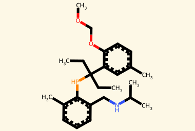 CCC(CC)(Pc1c(C)cccc1CNC(C)C)c1cc(C)ccc1OCOC